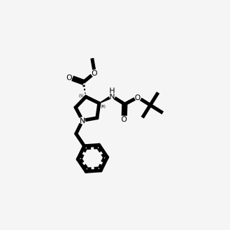 COC(=O)[C@H]1CN(Cc2ccccc2)C[C@@H]1NC(=O)OC(C)(C)C